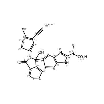 C#Cc1cc(N2C(=O)c3ccccc3C2(O)c2ccc3[nH]c(N(C)C(=O)O)nc3c2)ccc1F.Cl